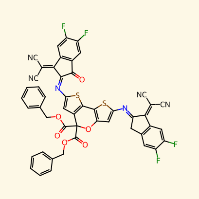 N#CC(C#N)=C1/C(=N/c2cc3c(s2)-c2sc(/N=C4\C(=O)c5cc(F)c(F)cc5C4=C(C#N)C#N)cc2C(C(=O)OCc2ccccc2)(C(=O)OCc2ccccc2)O3)Cc2cc(F)c(F)cc21